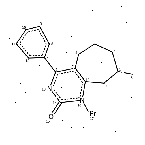 CC1CCCc2c(-c3ccccc3)nc(=O)n(C(C)C)c2C1